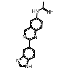 CC(=N)Nc1ccc2nc(-c3ccc4[nH]cnc4c3)ncc2c1